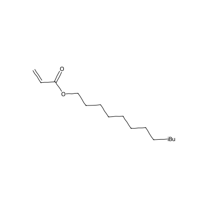 C=CC(=O)OCCCCCCCCC(C)CC